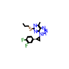 CCCSc1nc(C)c(/N=N\C)c(NC2C[C@H]2c2ccc(F)c(F)c2)n1